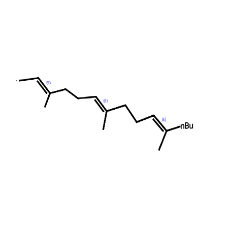 [CH2]/C=C(\C)CC/C=C(\C)CC/C=C(\C)CCCC